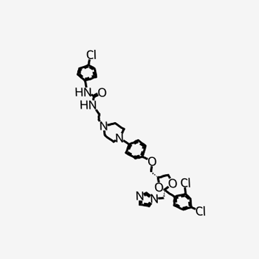 O=C(NCCN1CCN(c2ccc(OC[C@@H]3CO[C@@](Cn4ccnc4)(c4ccc(Cl)cc4Cl)O3)cc2)CC1)Nc1ccc(Cl)cc1